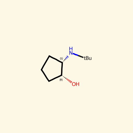 CC(C)(C)N[C@H]1CCC[C@H]1O